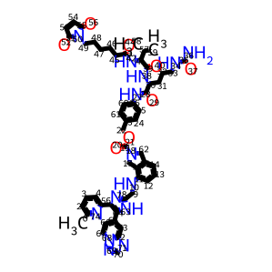 Cc1cccc(-c2nc(CNc3cccc4c3CN(C(=O)OCc3ccc(NC(=O)C(CCCNC(N)=O)NC(=O)C(NC(=O)CCCCCN5C(=O)C=CC5=O)C(C)C)cc3)C4)[nH]c2-c2ccn3ncnc3c2)n1